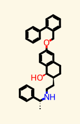 C[C@@H](NCC[C@@H]1CCc2cc(OCc3ccccc3-c3ccccc3)ccc2[C@@H]1O)c1ccccc1